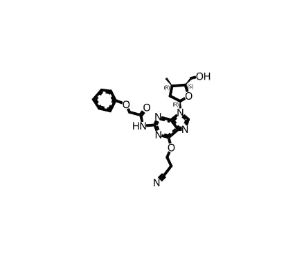 C[C@@H]1C[C@H](n2cnc3c(OCCC#N)nc(NC(=O)COc4ccccc4)nc32)O[C@@H]1CO